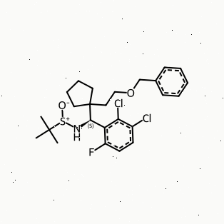 CC(C)(C)[S+]([O-])N[C@H](c1c(F)ccc(Cl)c1Cl)C1(CCOCc2ccccc2)CCCC1